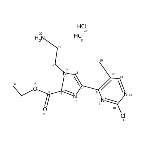 CCOC(=O)c1nc(-c2nc(Cl)ncc2C)cn1CCN.Cl.Cl